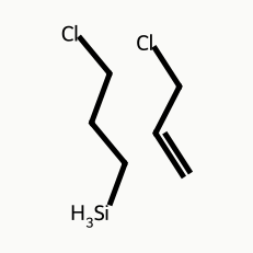 C=CCCl.[SiH3]CCCCl